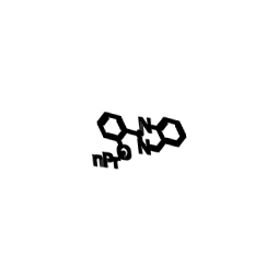 CCCOc1ccccc1-c1ncc2ccccc2n1